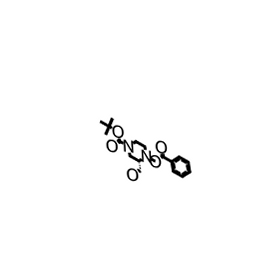 CC(C)(C)OC(=O)N1CCN(OC(=O)c2ccccc2)[C@H](C=O)C1